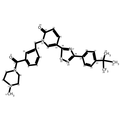 CN1CCN(C(=O)c2cccc(Cn3cc(-c4nc(-c5ccc(C(C)(C)C(F)(F)F)cc5)no4)ccc3=O)c2)CC1